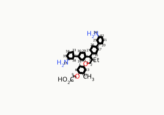 CCC(COc1ccc(OCC(=O)O)c(C)c1)=C(c1ccc(-c2cccc(N)c2)cc1)c1ccc(-c2cccc(N)c2)cc1